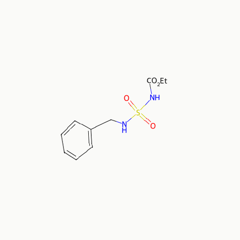 CCOC(=O)NS(=O)(=O)NCc1ccccc1